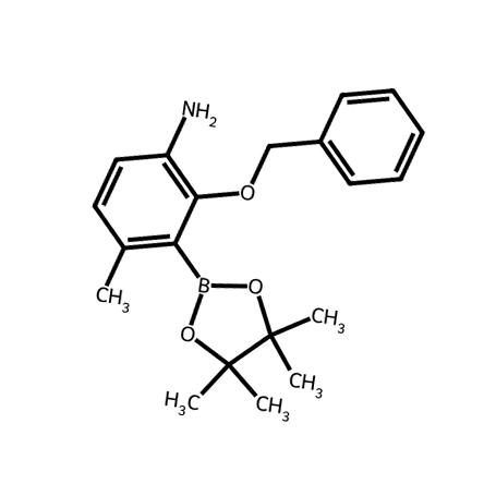 Cc1ccc(N)c(OCc2ccccc2)c1B1OC(C)(C)C(C)(C)O1